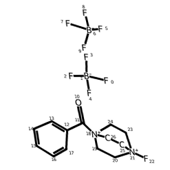 F[B-](F)(F)F.F[B-](F)(F)F.O=C(c1ccccc1)[N+]12CC[N+](F)(CC1)CC2